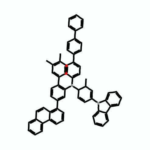 Cc1ccc(-c2ccc(-c3cccc4c3ccc3ccccc34)cc2N(c2ccc(-c3ccc(-c4ccccc4)cc3)cc2)C2C=CC(n3c4ccccc4c4ccccc43)=CC2C)cc1C